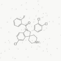 O=C(c1ccccc1F)N1c2ccc(Cl)cc2C2(CCNCC2)[C@H]1c1ccc(Cl)c(Cl)c1